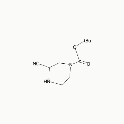 CC(C)(C)OC(=O)N1CCNC(C#N)C1